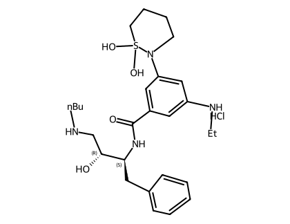 CCCCNC[C@@H](O)[C@H](Cc1ccccc1)NC(=O)c1cc(NCC)cc(N2CCCCS2(O)O)c1.Cl